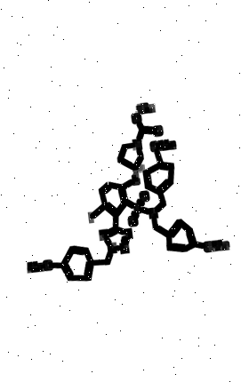 COc1ccc(CN(Cc2ccc(OC)cc2)S(=O)(=O)c2c(S[C@@H]3CCN(C(=O)OC(C)(C)C)C3)ccc(I)c2-c2nnn(Cc3ccc(OC)cc3)n2)cc1